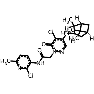 Cc1ccc(NC(=O)Cn2ncc(N[C@@H]3C[C@@H]4C[C@H]([C@H]3C)C4(C)C)c(Cl)c2=O)c(Cl)n1